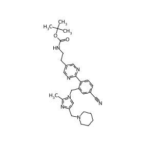 Cc1nc(CN2CCCCC2)cn1Cc1cc(C#N)ccc1-c1ncc(CCNC(=O)OC(C)(C)C)cn1